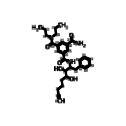 C#CCCCC(O)C(O)C(Cc1ccccc1)NC(=O)c1cc(C(N)=O)cc(C(=O)N(CCC)CCC)c1